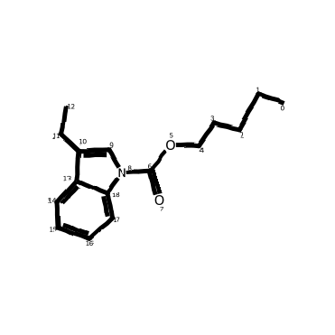 CCCCCOC(=O)n1cc(CC)c2ccccc21